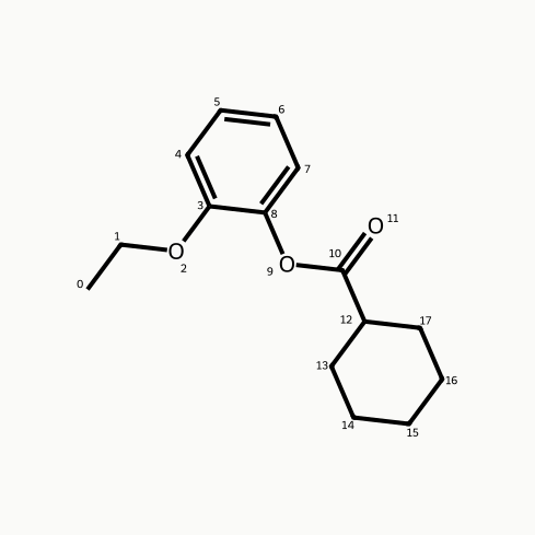 CCOc1ccccc1OC(=O)C1CCCCC1